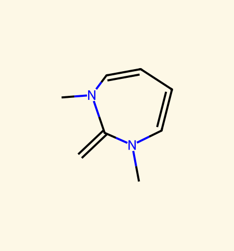 C=C1N(C)C=CC=CN1C